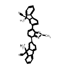 Cn1nc2c(-c3ccc4c(c3)C(C)(C#N)c3ccccc3-4)ccc(-c3ccc4c(c3)C(C)(C#N)c3ccccc3-4)c2n1